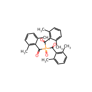 Cc1cccc(C)c1C(=O)P(=O)(C(=O)c1c(C)cccc1C)C(=O)c1c(C)cccc1C